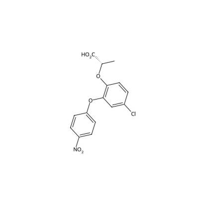 C[C@H](Oc1ccc(Cl)cc1Oc1ccc([N+](=O)[O-])cc1)C(=O)O